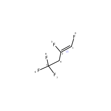 F/C=C(\F)CC(F)(F)F